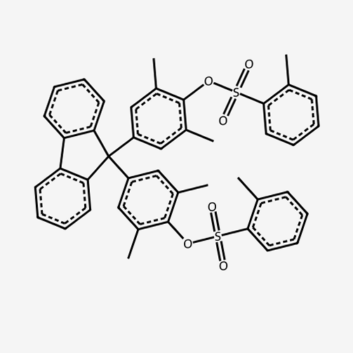 Cc1ccccc1S(=O)(=O)Oc1c(C)cc(C2(c3cc(C)c(OS(=O)(=O)c4ccccc4C)c(C)c3)c3ccccc3-c3ccccc32)cc1C